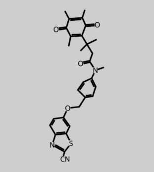 CC1=C(C)C(=O)C(C(C)(C)CC(=O)N(C)c2ccc(COc3ccc4nc(C#N)sc4c3)cc2)=C(C)C1=O